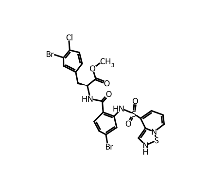 COC(=O)[C@H](Cc1ccc(Cl)c(Br)c1)NC(=O)c1ccc(Br)cc1NS(=O)(=O)C1=CC=CN2SNC=C12